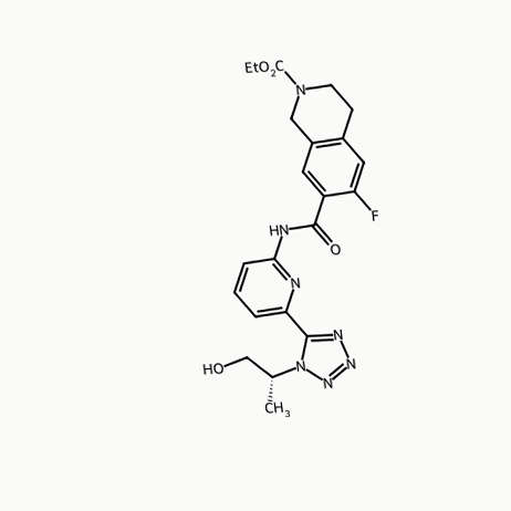 CCOC(=O)N1CCc2cc(F)c(C(=O)Nc3cccc(-c4nnnn4[C@H](C)CO)n3)cc2C1